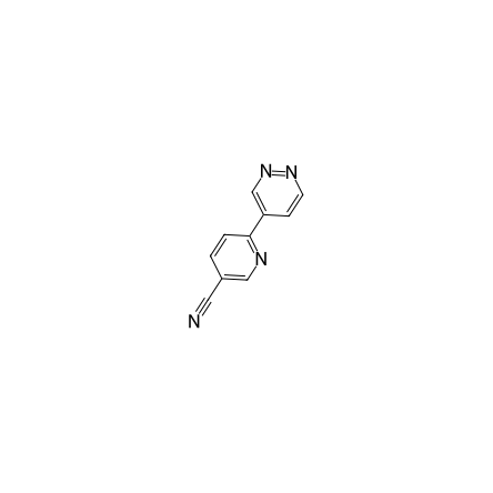 N#Cc1ccc(-c2ccnnc2)nc1